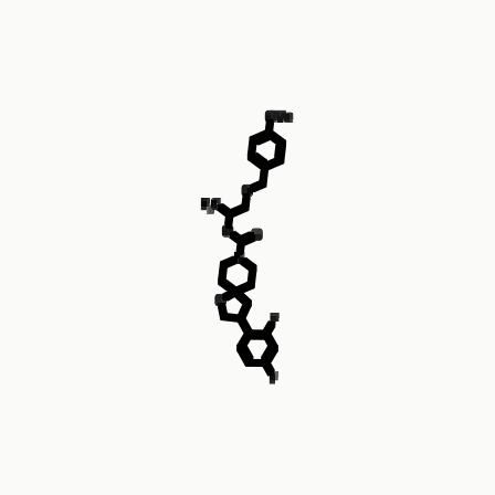 COc1ccc(COCC(OC(=O)N2CCC3(CC2)CC(c2ccc(F)cc2F)CO3)C(F)(F)F)cc1